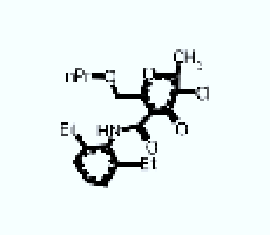 CCCOCc1oc(C)c(Cl)c(=O)c1C(=O)Nc1c(CC)cccc1CC